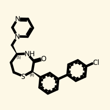 O=C1N[C@H](CN2C=CC=NC2)CCS[C@@H]1c1cccc(-c2ccc(Cl)cc2)c1